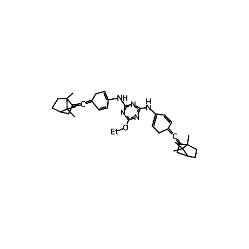 CCOc1nc(NC2=CCC(=C=C3CC4CCC3(C)C4(C)C)C=C2)nc(NC2=CCC(=C=C3CC4CCC3(C)C4(C)C)C=C2)n1